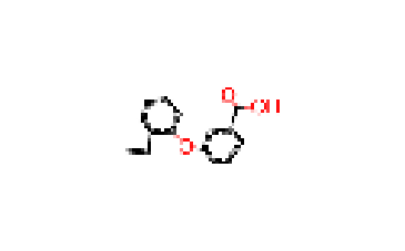 C=Cc1ccccc1Oc1cccc(C(=O)O)c1